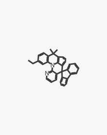 CCc1ccc2c(c1)N1c3ncccc3C3(c4ccccc4-c4ccccc43)c3cccc(c31)C2(C)C